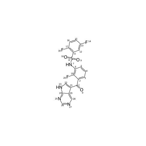 O=C(c1cccc(NS(=O)(=O)c2cc(F)ccc2F)c1F)c1c[nH]c2ncncc12